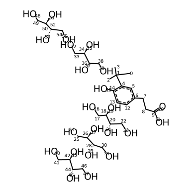 CC(C)(C)c1cc(CCC(=O)O)ccc1O.OC[C@@H](O)[C@@H](O)CO.OC[C@@H](O)[C@@H](O)CO.OC[C@@H](O)[C@@H](O)CO.OC[C@@H](O)[C@@H](O)CO.OC[C@@H](O)[C@@H](O)CO